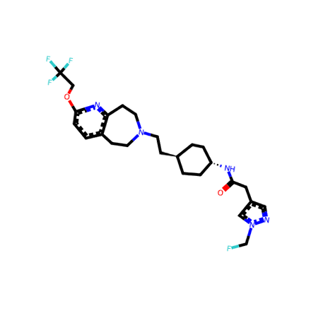 O=C(Cc1cnn(CF)c1)N[C@H]1CC[C@H](CCN2CCc3ccc(OCC(F)(F)F)nc3CC2)CC1